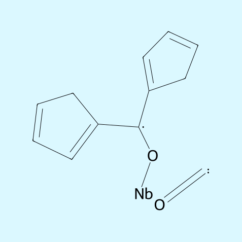 [C]=O.[Nb][O][C](C1=CC=CC1)C1=CC=CC1